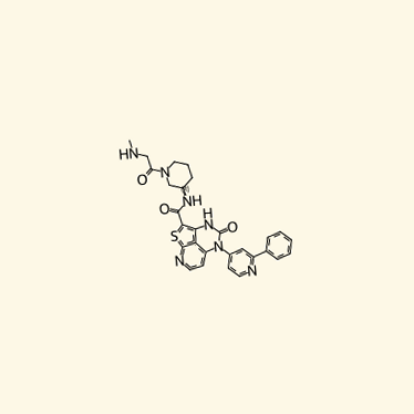 CNCC(=O)N1CCC[C@@H](NC(=O)c2sc3nccc4c3c2NC(=O)N4c2ccnc(-c3ccccc3)c2)C1